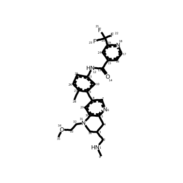 CNCC1Cc2ncc(-c3cc(NC(=O)c4ccnc(C(F)(F)F)c4)ccc3C)cc2N(CCOC)C1